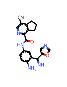 N#Cc1cnc(C(=O)Nc2ccc(N)c(C(=N)c3cnco3)c2)c2c1CCC2